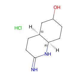 Cl.N=C1CC[C@H]2CC(O)CC[C@H]2N1